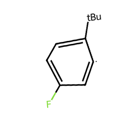 CC(C)(C)c1[c]cc(F)cc1